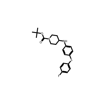 CC(C)(C)OC(=O)N1CCC(Nc2ccc(Sc3ccc(F)cc3)cc2)CC1